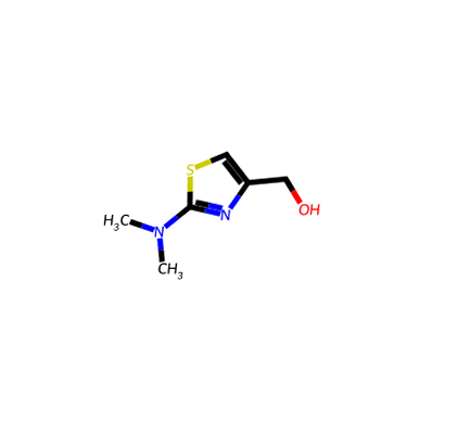 CN(C)c1nc(CO)cs1